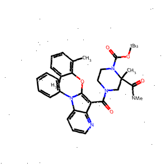 CNC(=O)C1(C)CN(C(=O)c2c(Oc3c(C)cccc3C)n(-c3ccccc3)c3cccnc23)CCN1C(=O)OC(C)(C)C